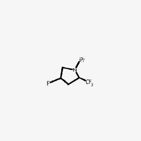 CC(C)N1CC(F)CC1C(F)(F)F